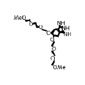 COCCOCCOCCOc1cc2c(cc1OCCOCCOCCOC)C(=N)NC2=N